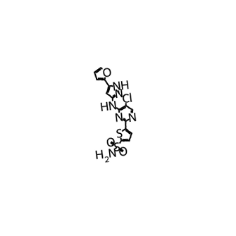 NS(=O)(=O)c1ccc(-c2ncc(Cl)c(Nc3cc(-c4ccco4)[nH]n3)n2)s1